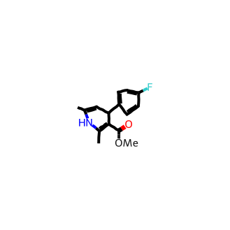 COC(=O)C1=C(C)NC(C)=CC1c1ccc(F)cc1